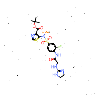 CPN(c1scnc1C(=O)OC(C)(C)C)S(=O)(=O)c1ccc(NC(=O)CNC2=NCCN2)c(F)c1